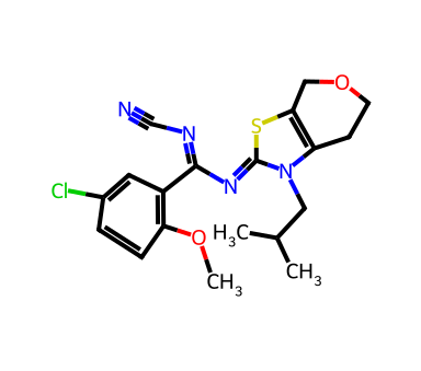 COc1ccc(Cl)cc1C(=NC#N)/N=c1\sc2c(n1CC(C)C)CCOC2